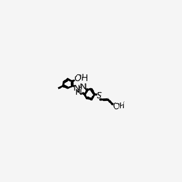 Cc1ccc(O)c(-n2nc3ccc(SCCCO)cc3n2)c1